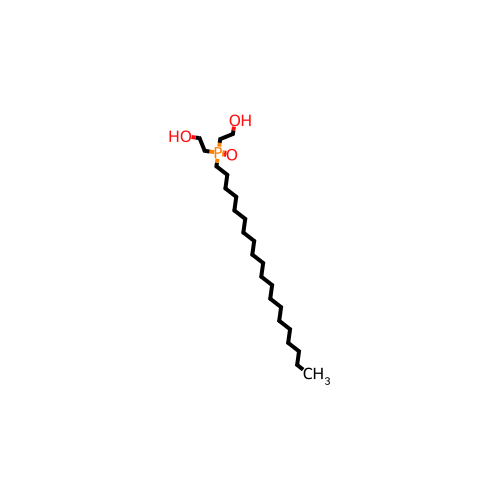 CCCCCCCCCCCCCCCCCCCCP(=O)(CCO)CCO